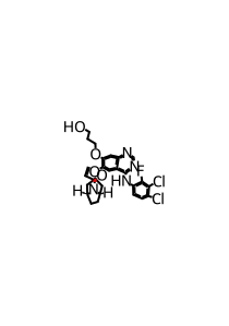 C=CC(=O)N1[C@@H]2CC[C@H]1C[C@H](Oc1cc3c(Nc4ccc(Cl)c(Cl)c4F)ncnc3cc1OCCCO)C2